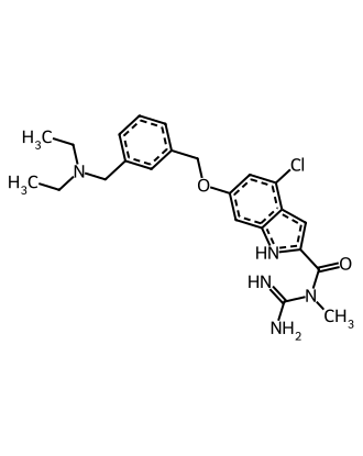 CCN(CC)Cc1cccc(COc2cc(Cl)c3cc(C(=O)N(C)C(=N)N)[nH]c3c2)c1